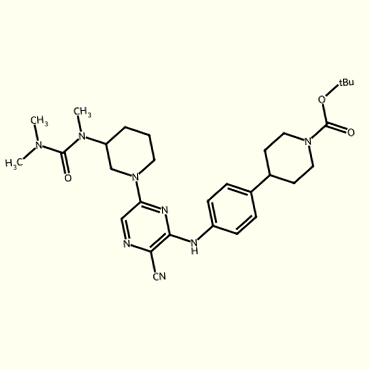 CN(C)C(=O)N(C)C1CCCN(c2cnc(C#N)c(Nc3ccc(C4CCN(C(=O)OC(C)(C)C)CC4)cc3)n2)C1